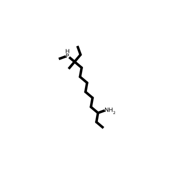 CCC(N)CCCCCCC(C)(CC)PC